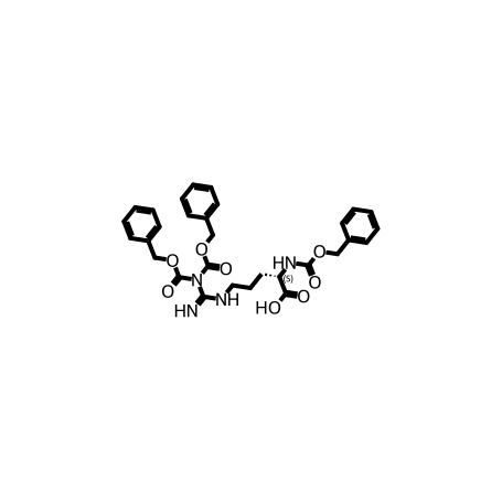 N=C(NCCC[C@H](NC(=O)OCc1ccccc1)C(=O)O)N(C(=O)OCc1ccccc1)C(=O)OCc1ccccc1